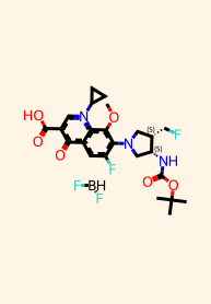 COc1c(N2C[C@H](CF)[C@H](NC(=O)OC(C)(C)C)C2)c(F)cc2c(=O)c(C(=O)O)cn(C3CC3)c12.FBF